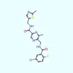 Cc1ncc(CNC(=O)c2cnc(CNC(=O)c3cc(Cl)ccc3F)c(C)n2)s1